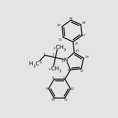 CCC(C)(C)n1c(-c2ccccc2)ccc1-c1ccccc1